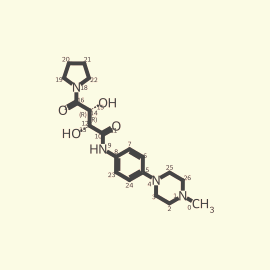 CN1CCN(c2ccc(NC(=O)[C@H](O)[C@@H](O)C(=O)N3CCCC3)cc2)CC1